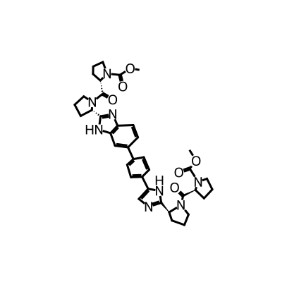 COC(=O)N1CCC[C@H]1C(=O)N1CCC[C@H]1c1ncc(-c2ccc(-c3ccc4nc([C@@H]5CCCN5C(=O)[C@@H]5CCCN5C(=O)OC)[nH]c4c3)cc2)[nH]1